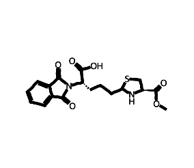 COC(=O)[C@@H]1CSC(CCC[C@@H](C(=O)O)N2C(=O)c3ccccc3C2=O)N1